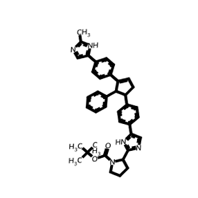 Cc1ncc(-c2ccc(C3=CCC(c4ccc(-c5cnc(C6CCCN6C(=O)OC(C)(C)C)[nH]5)cc4)C3c3ccccc3)cc2)[nH]1